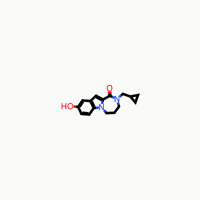 O=C1c2cc3cc(O)ccc3n2CCCN1CC1CC1